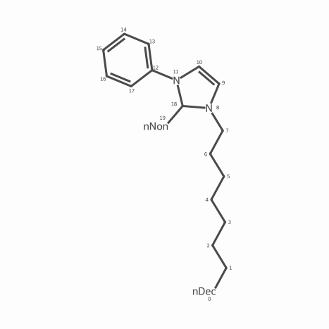 CCCCCCCCCCCCCCCCCN1C=CN(c2ccccc2)C1CCCCCCCCC